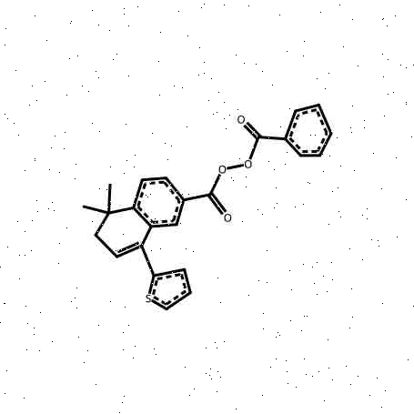 CC1(C)CC=C(c2cccs2)c2cc(C(=O)OOC(=O)c3ccccc3)ccc21